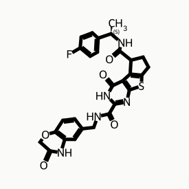 C[C@H](NC(=O)C1CCc2sc3nc(C(=O)NCc4ccc5c(c4)NC(=O)CO5)[nH]c(=O)c3c21)c1ccc(F)cc1